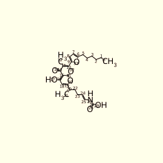 CCCCCCc1ccc(C=C(C)C(=O)c2c(O)cc(C(C)CCC=CNC(=O)O)oc2=O)o1